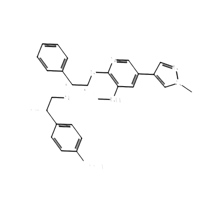 C[C@H](CN[C@H](c1ccccc1)[C@H]1CNc2cc(-c3cnn(C)c3)cnc2N1)c1ccc(C(=O)O)cc1